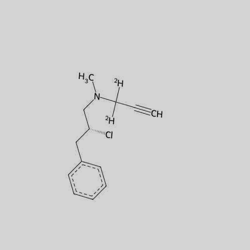 [2H]C([2H])(C#C)N(C)C[C@H](Cl)Cc1ccccc1